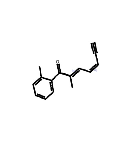 C#C/C=C\C=C(/C)C(=O)c1ccccc1C